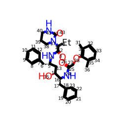 CCC(C(=O)N[C@@H](Cc1ccccc1)C[C@H](O)[C@H](Cc1ccccc1)NC(=O)COc1c(C)cccc1C)N1CCCNC1=O